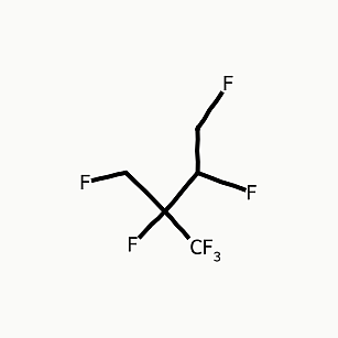 FCC(F)C(F)(CF)C(F)(F)F